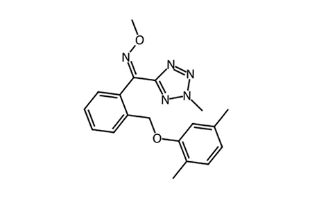 CON=C(c1nnn(C)n1)c1ccccc1COc1cc(C)ccc1C